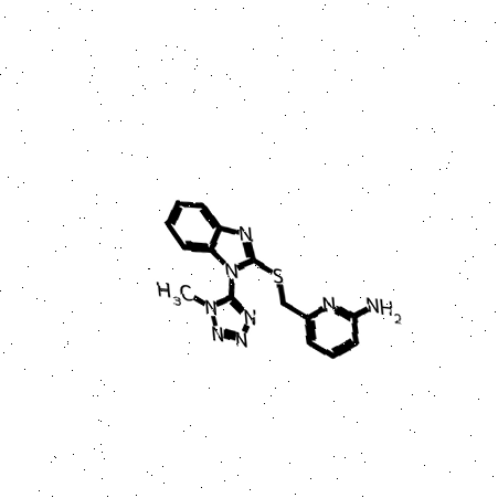 Cn1nnnc1-n1c(SCc2cccc(N)n2)nc2ccccc21